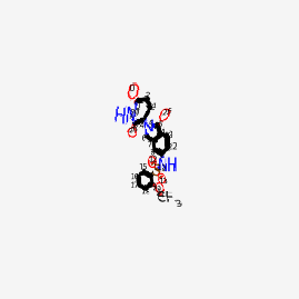 O=C1CCC(N2Cc3cc(NS(=O)(=O)c4ccccc4OC(F)(F)F)ccc3C2=O)C(=O)N1